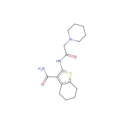 NC(=O)c1c(NC(=O)CN2CCCCC2)sc2c1CCCC2